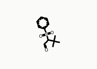 CC(C)(C)C(C=O)S(=O)(=O)c1ccccc1